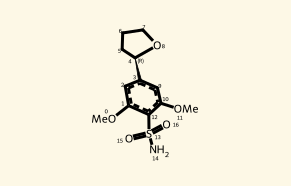 COc1cc([C@H]2CCCO2)cc(OC)c1S(N)(=O)=O